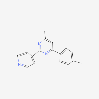 Cc1ccc(-c2cc(C)nc(-c3ccncc3)n2)cc1